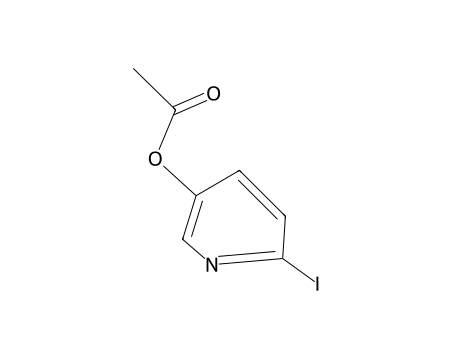 CC(=O)Oc1ccc(I)nc1